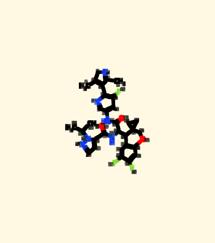 CC1=NCC(C)=C1c1ncc(NC(=O)[C@@H](NC(=O)c2ccnn2C(C)C)C2c3cc(F)c(F)cc3OCC23CC3)cc1F